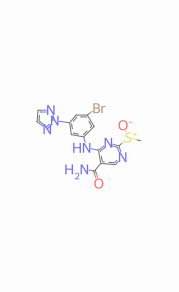 C[S+]([O-])c1ncc(C(N)=O)c(Nc2cc(Br)cc(-n3nccn3)c2)n1